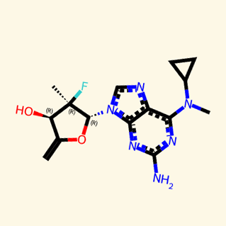 C=C1O[C@@H](n2cnc3c(N(C)C4CC4)nc(N)nc32)[C@](C)(F)[C@@H]1O